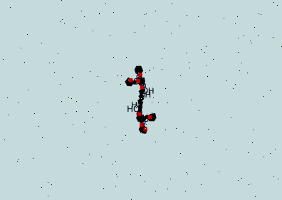 OC(CNCCCCNCC(O)COc1ccc(OCc2ccccc2)c(OCc2ccccc2)c1)COc1ccc(OCc2ccccc2)c(OCc2ccccc2)c1